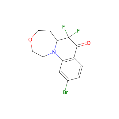 O=C1c2ccc(Br)cc2N2CCOCCC2C1(F)F